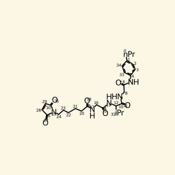 CCCc1ccc(NC(=O)CNC(=O)C(NC(=O)CNC(=O)CCCCCN2C(=O)C=CC2=O)C(C)C)cc1